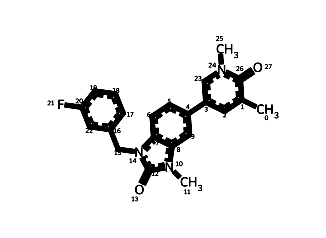 Cc1cc(-c2ccc3c(c2)n(C)c(=O)n3Cc2cccc(F)c2)cn(C)c1=O